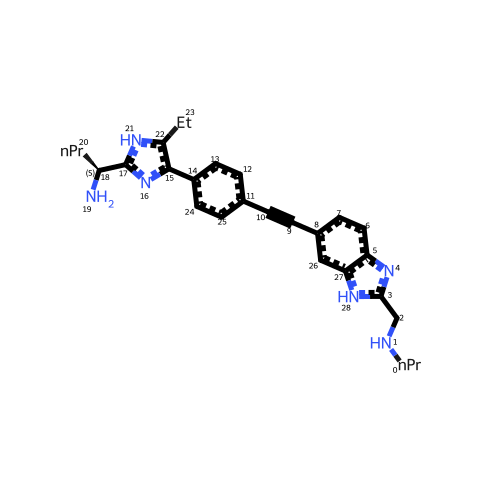 CCCNCc1nc2ccc(C#Cc3ccc(-c4nc([C@@H](N)CCC)[nH]c4CC)cc3)cc2[nH]1